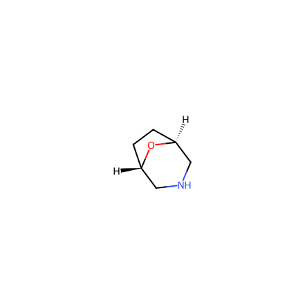 C1C[C@H]2CNC[C@H]1O2